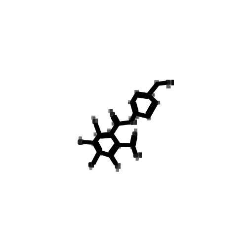 O=C(O)c1c(Cl)c(Cl)c(Cl)c(Cl)c1C(=O)Nc1ccc(CO)cc1